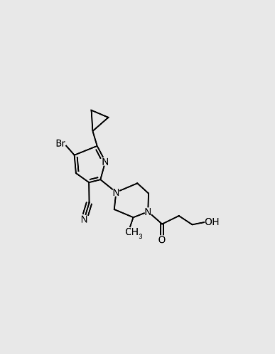 CC1CN(c2nc(C3CC3)c(Br)cc2C#N)CCN1C(=O)CCO